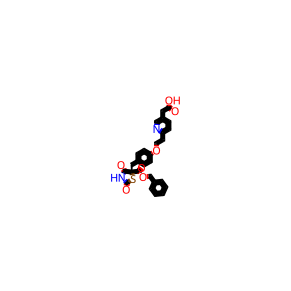 O=C(O)Cc1ccc(CCOc2ccc(C[C@@]3(C(=O)OCc4ccccc4)SC(=O)NC3=O)cc2)nc1